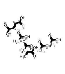 C=CC(=O)O.CC(=O)O.CC(=O)O.CC(=O)O.CC(=O)O.O=C(O)C=CC(=O)O